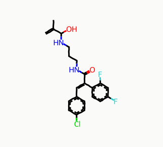 C=C(C)C(O)NCCCNC(=O)/C(=C/c1ccc(Cl)cc1)c1ccc(F)cc1F